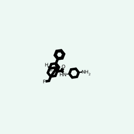 N[C@H]1CC[C@H](NC(=O)C23C[C@@H]4CC(CF)(C2)CC(c2ccccc2)(C4)C3)CC1